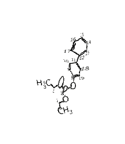 CCOP(OCC)Oc1ccc(-c2ccccc2)cc1